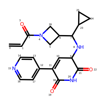 C=CC(=O)N1CC(C(NC2C=C(c3ccncc3)C(=O)NC2=O)C2CC2)C1